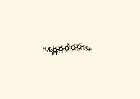 COc1ccc(-c2ccc(-c3ccc(C4=CCC(C5CCC(CC/C=C/I)CC5)CC4)c(F)c3)cc2)c(F)c1F